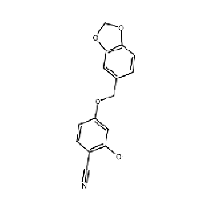 N#Cc1ccc(OCc2ccc3c(c2)OCO3)cc1[O]